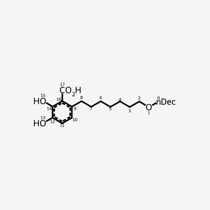 CCCCCCCCCCOCCCCCCCc1ccc(O)c(O)c1C(=O)O